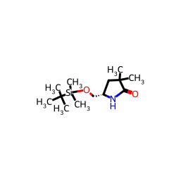 CC1(C)C[C@@H](CO[Si](C)(C)C(C)(C)C)NC1=O